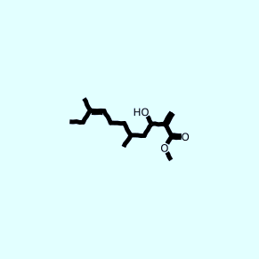 C=C(C(=O)OC)C(O)CC(C)CCC=C(C)CC